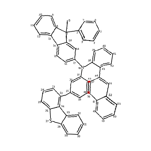 CC1(c2ccccc2)c2ccccc2-c2ccc(N(C3=CC(c4cccc5sc6ccccc6c45)=CCC3)c3ccccc3-c3c#cc4ccccc4c3)cc21